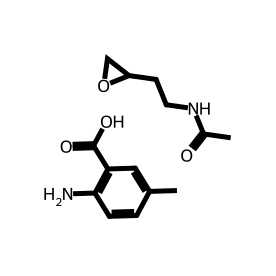 CC(=O)NCCC1CO1.Cc1ccc(N)c(C(=O)O)c1